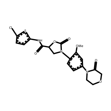 COc1cc(N2CCOCC2=O)ccc1N1CC(C(=O)Nc2ccc(Cl)s2)OC1=O